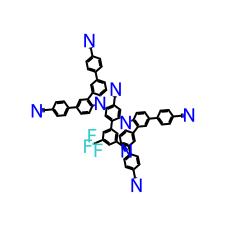 N#Cc1ccc(-c2ccc3c(c2)c2cc(-c4ccc(C#N)cc4)ccc2n3-c2cc(-c3cc(C#N)cc(C(F)(F)F)c3)c(-n3c4ccc(-c5ccc(C#N)cc5)cc4c4cc(-c5ccc(C#N)cc5)ccc43)cc2C#N)cc1